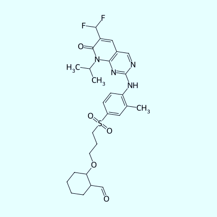 Cc1cc(S(=O)(=O)CCCOC2CCCCC2C=O)ccc1Nc1ncc2cc(C(F)F)c(=O)n(C(C)C)c2n1